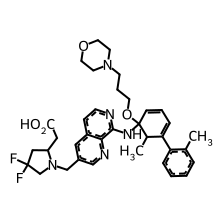 Cc1ccccc1C1=CC=CC(Nc2nccc3cc(CN4CC(F)(F)CC4CC(=O)O)cnc23)(OCCCN2CCOCC2)C1C